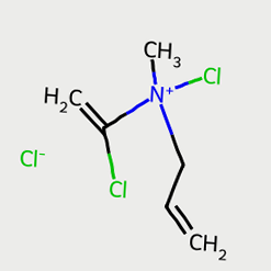 C=CC[N+](C)(Cl)C(=C)Cl.[Cl-]